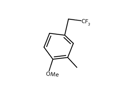 COc1ccc(CC(F)(F)F)cc1C